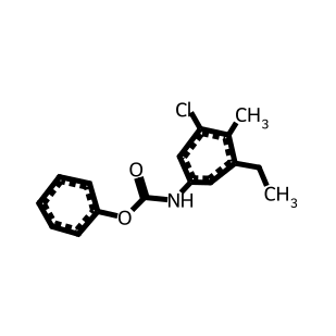 CCc1cc(NC(=O)Oc2ccccc2)cc(Cl)c1C